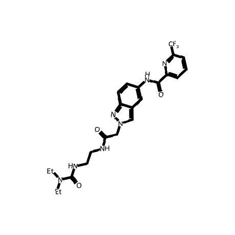 CCN(CC)C(=O)NCCNC(=O)Cn1cc2cc(NC(=O)c3cccc(C(F)(F)F)n3)ccc2n1